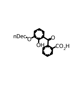 CCCCCCCCCCOc1cccc(C(=O)c2ccccc2C(=O)O)c1O